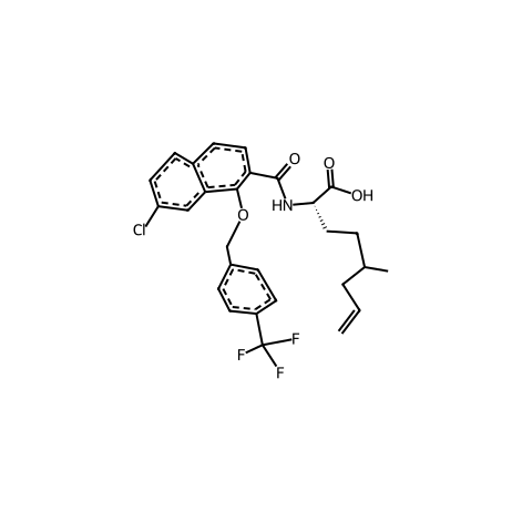 C=CCC(C)CC[C@H](NC(=O)c1ccc2ccc(Cl)cc2c1OCc1ccc(C(F)(F)F)cc1)C(=O)O